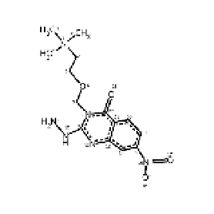 C[Si](C)(C)CCOCn1c(NN)nc2cc([N+](=O)[O-])ccc2c1=O